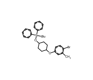 Cc1cc(OC2CCC(O[Si](c3ccccc3)(c3ccccc3)C(C)(C)C)CC2)ccc1Br